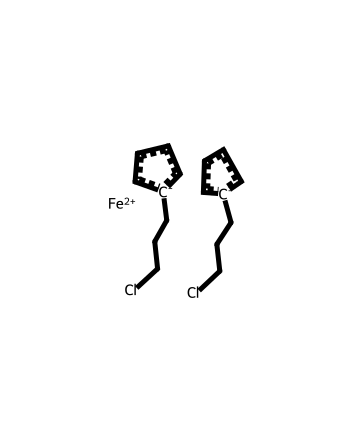 ClCCC[c-]1cccc1.ClCCC[c-]1cccc1.[Fe+2]